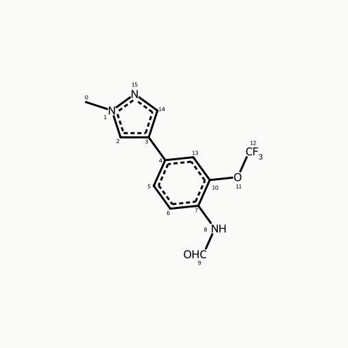 Cn1cc(-c2ccc(NC=O)c(OC(F)(F)F)c2)cn1